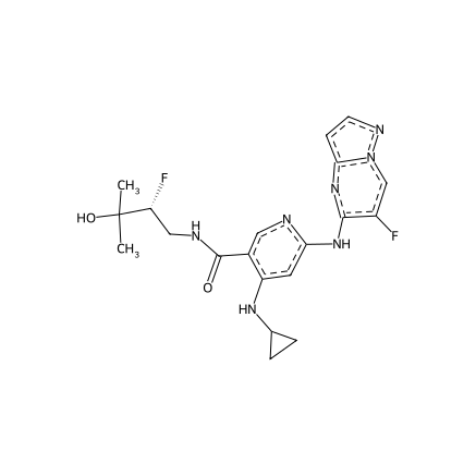 CC(C)(O)[C@H](F)CNC(=O)c1cnc(Nc2nc3ccnn3cc2F)cc1NC1CC1